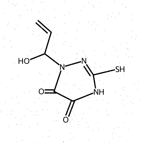 C=CC(O)n1nc(S)[nH]c(=O)c1=O